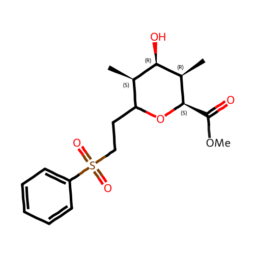 COC(=O)[C@H]1OC(CCS(=O)(=O)c2ccccc2)[C@@H](C)[C@@H](O)[C@H]1C